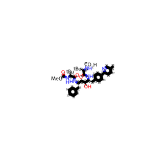 COC(=O)N[C@H](C(=O)N[C@@H](Cc1ccccc1)C[C@H](O)[C@H](Cc1ccc(-c2ccc(C)cn2)cc1)NC(=O)[C@H](NC(=O)O)C(C)(C)C)C(C)(C)C